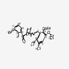 CCOc1cc(Cl)c(Cl)c(/C=N/NC(=O)c2cccc(Br)c2C)c1OC